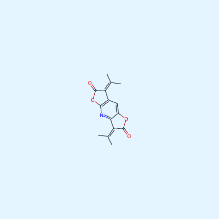 CC(C)=C1C(=O)Oc2nc3c(cc21)OC(=O)C3=C(C)C